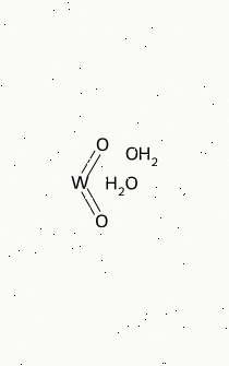 O.O.[O]=[W]=[O]